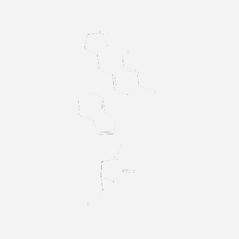 Cc1nc(C(F)(F)F)cc(-c2ccnc3cc(CN4C(=O)C5C(C)C5C4=O)sc23)c1CC1CCNC1